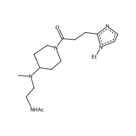 CCn1ccnc1CCC(=O)N1CCC(N(C)CCNC(C)=O)CC1